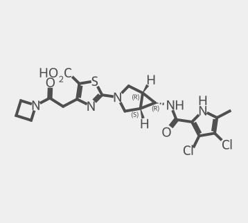 Cc1[nH]c(C(=O)N[C@@H]2[C@@H]3CN(c4nc(CC(=O)N5CCC5)c(C(=O)O)s4)C[C@@H]32)c(Cl)c1Cl